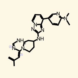 C=C(C)/C=C(\N=C/N)N1CCC(Nc2nc3c(-c4ccc(N(C)C)nc4)cccn3n2)CC1